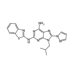 CC(C)Cn1c(-n2cccn2)nc2c(N)nc(Nc3nc4ccccc4s3)nc21